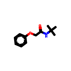 CC(C)(C)NC(=O)COc1ccccc1